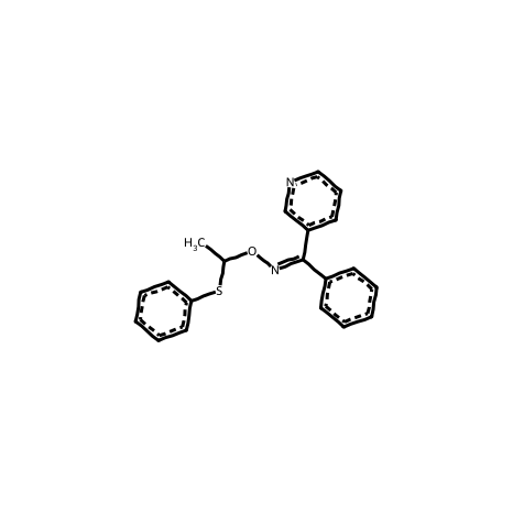 CC(ON=C(c1ccccc1)c1cccnc1)Sc1ccccc1